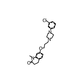 CN1C(=O)CCc2ccc(OCCCN3CCN(c4cccc(Cl)c4)CC3)cc21